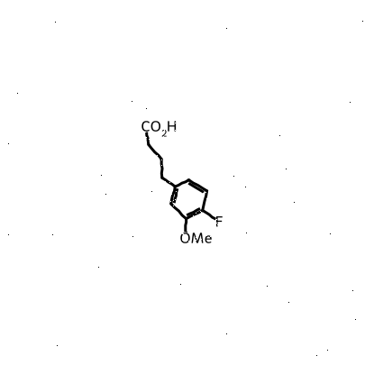 COc1cc(CCCC(=O)O)ccc1F